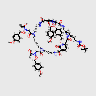 COc1ccc(CON(CC(=O)N2CCCCN(C(=O)CN(OCc3ccc(OC)cc3)C(C)=O)CCCNC(=O)c3ccc(n(OCc4ccc(OC)cc4)c3=O)C(=O)N[C@@H](CCCCNC(=O)OC(C)(C)C)CNC(=O)c3ccc(c(=O)n3OCc3ccc(OC)cc3)C(=O)NCCC2)C(C)=O)cc1